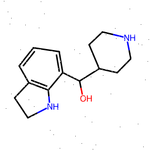 OC(c1cccc2c1NCC2)C1CCNCC1